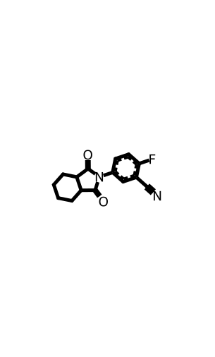 N#Cc1cc(N2C(=O)C3CCCCC3C2=O)ccc1F